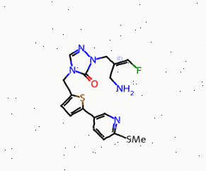 CSc1ccc(-c2ccc(Cn3cnn(C/C(=C/F)CN)c3=O)s2)cn1